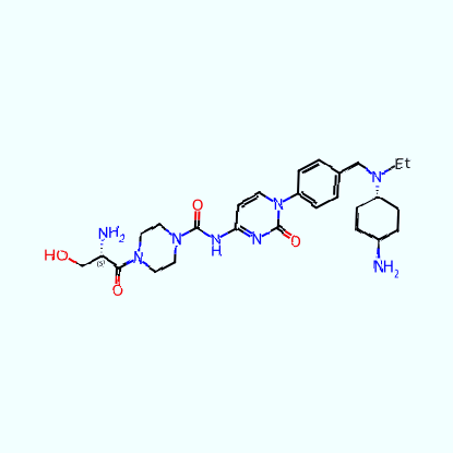 CCN(Cc1ccc(-n2ccc(NC(=O)N3CCN(C(=O)[C@@H](N)CO)CC3)nc2=O)cc1)[C@H]1CC[C@H](N)CC1